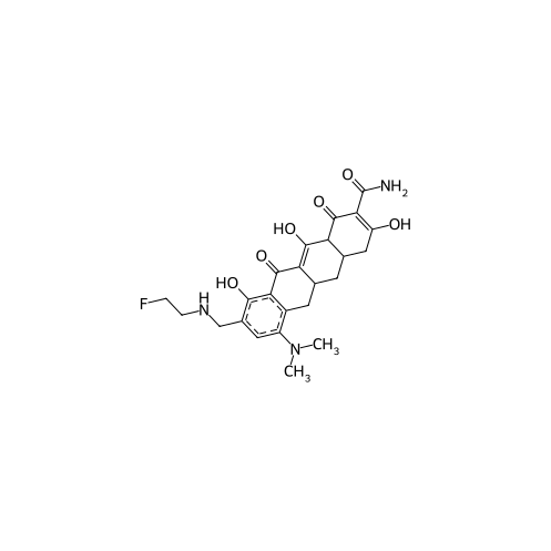 CN(C)c1cc(CNCCF)c(O)c2c1CC1CC3CC(O)=C(C(N)=O)C(=O)C3C(O)=C1C2=O